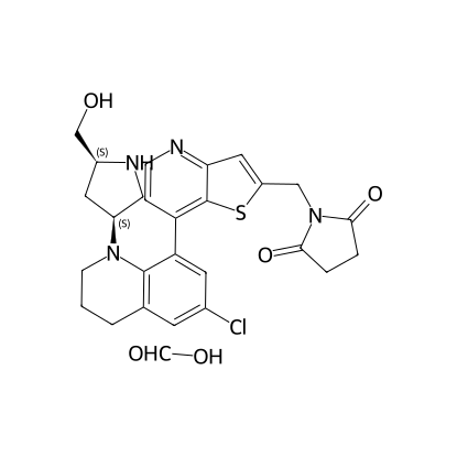 O=C1CCC(=O)N1Cc1cc2nccc(-c3cc(Cl)cc4c3N([C@@H]3CN[C@H](CO)C3)CCC4)c2s1.O=CO